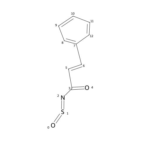 O=S=NC(=O)C=Cc1ccccc1